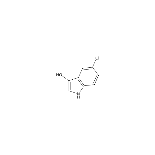 Oc1c[nH]c2ccc(Cl)cc12